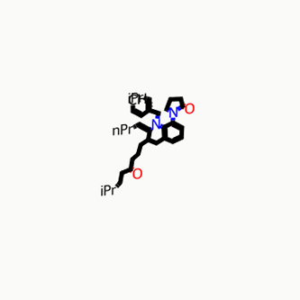 C/C=C\C(=C/C(C)C)CN1/C(=C/CCC)C(CCCC(=O)CCC(C)C)Cc2cccc(N3CCCC3=O)c21